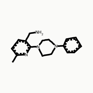 Cc1ccc(CN)c(N2CCN(c3ccccc3)CC2)n1